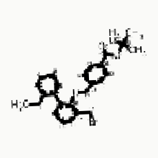 CCc1ccccc1-c1cccc(CBr)c1OCc1ccc(C(=O)OC(C)(C)C)cc1